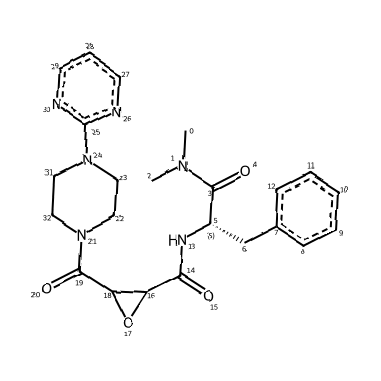 CN(C)C(=O)[C@H](Cc1ccccc1)NC(=O)C1OC1C(=O)N1CCN(c2ncccn2)CC1